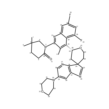 Cc1c(N2CC(C)(C)CCC2=O)nc2cc(F)cc(F)c2c1[C@H]1CC2(C=Nc3cc(N4CCOCC4)cnc32)CCO1